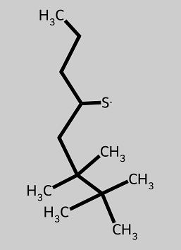 CCCC([S])CC(C)(C)C(C)(C)C